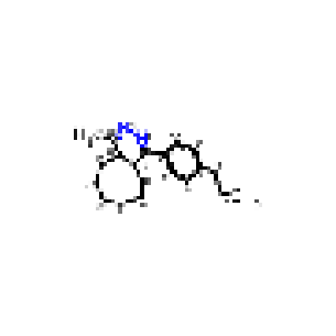 CCCc1ccc(C2=NN=C(C)C3CCCCCCC23)cc1